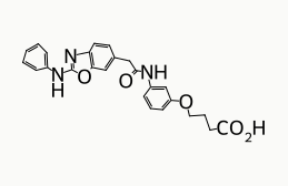 O=C(O)CCCOc1cccc(NC(=O)Cc2ccc3nc(Nc4ccccc4)oc3c2)c1